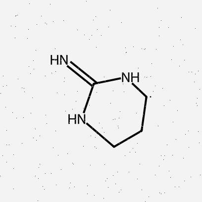 N=C1N[CH]CCN1